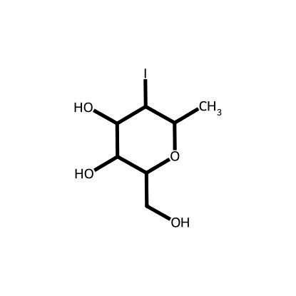 CC1OC(CO)C(O)C(O)C1I